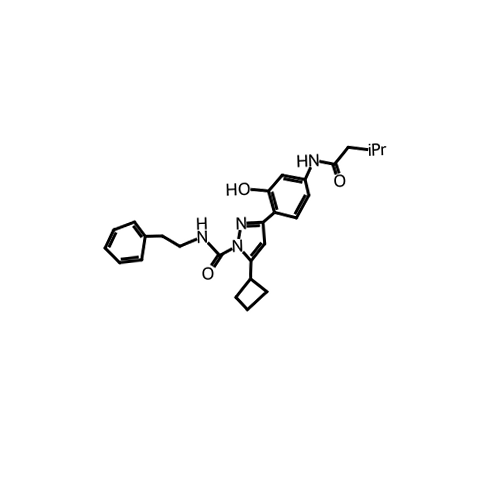 CC(C)CC(=O)Nc1ccc(-c2cc(C3CCC3)n(C(=O)NCCc3ccccc3)n2)c(O)c1